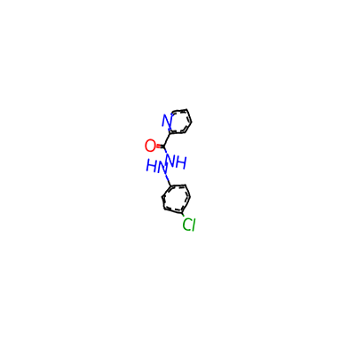 O=C(NNc1ccc(Cl)cc1)c1ccccn1